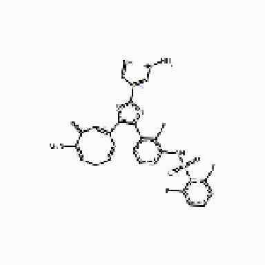 C=C1/C=C(c2sc(/C(C=N)=C/NN)nc2-c2cccc(NS(=O)(=O)c3c(F)cccc3F)c2F)\C=C/C/C=C\1NC